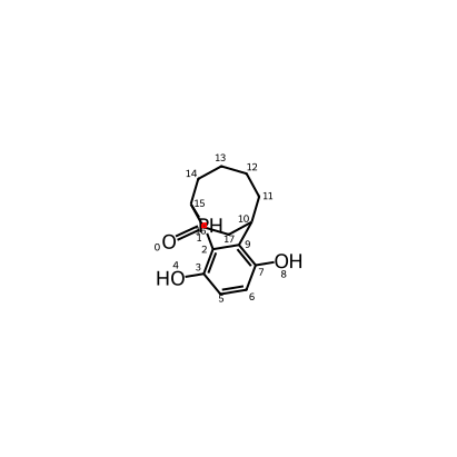 O=[PH]1c2c(O)ccc(O)c2C2CCCCC1CC2